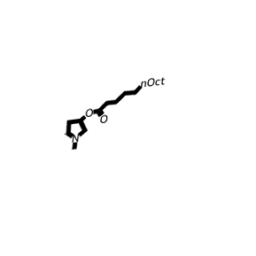 CCCCCCCCCCCCC(=O)OC1C[CH]N(C)C1